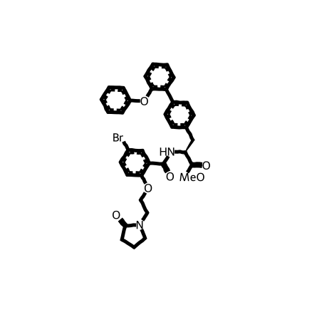 COC(=O)[C@H](Cc1ccc(-c2ccccc2Oc2ccccc2)cc1)NC(=O)c1cc(Br)ccc1OCCN1CCCC1=O